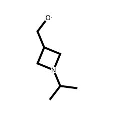 CC(C)N1CC(C[O])C1